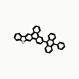 c1ccc(-c2c3ccccc3c(-c3ccc4c(c3)c3ccccc3c3cc5c(cc43)oc3ccccc35)c3ccccc23)cc1